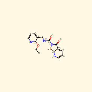 CCOc1ncccc1CNC(=O)n1sc2ncccc2c1=O